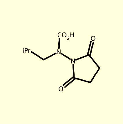 CC(C)CN(C(=O)O)N1C(=O)CCC1=O